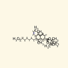 C/C=C\c1c(CCCCCCCC)c(C)c2cc(B3OC(C)(C)C(C)(C)O3)ccc2c1C